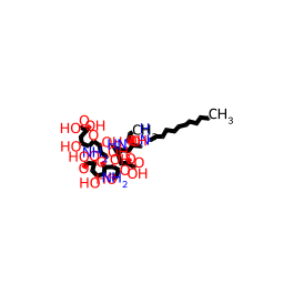 CCCCCCCCCCCCNCC(O)C1OC(OC(CO)C(O)C2OC(OC(CO)C(O)C3OC(O)(C(=O)O)CC(O)C3N)(C(=O)O)CC(O)[C@H]2N)(C(=O)O)CC2CC21NC(=O)CC